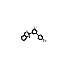 Clc1cc(-c2ccc(Br)cc2)cc(-c2ncc3ccccc3n2)c1